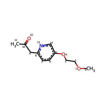 COCCOc1ccc(CC(C)=O)nc1